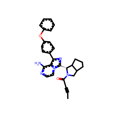 CC#CC(=O)N1CC2CCCC2[C@H]1c1nc(-c2ccc(Oc3ccccc3)cc2)c2c(N)nccn12